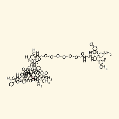 CC[C@@H](C)[C@H]([C@H](CC(=O)N1CCC[C@@H]1[C@@H](OC)[C@H](C)C(=O)N[C@@H](C)[C@H](O)c1ccccc1)OC)N(C)C(=O)C(NC(=O)[C@@H](C(C)C)N(C)C(=O)OCc1ccc(NC(=O)[C@H](CCCNC(N)=O)NC(=O)[C@@H](NC(=O)CCOCCOCCOCCOCCOCCOCCC(=O)NCCNc2ncc(-c3cc(C)cc(F)c3)c(N3CCC(N)CC3)c2-c2nc3ccc(Cl)cc3[nH]2)C(C)C)cc1)C(C)C